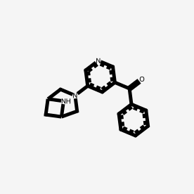 O=C(c1ccccc1)c1cncc(N2CC3CC(C2)N3)c1